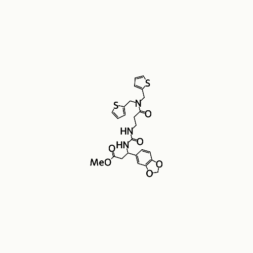 COC(=O)CC(NC(=O)NCCC(=O)N(Cc1cccs1)Cc1cccs1)c1ccc2c(c1)OCO2